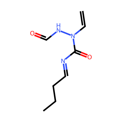 C=CN(NC=O)C(=O)N=CCCC